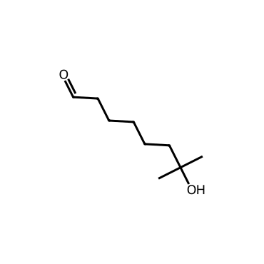 CC(C)(O)CCCCCC=O